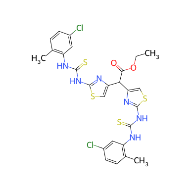 CCOC(=O)C(c1csc(NC(=S)Nc2cc(Cl)ccc2C)n1)c1csc(NC(=S)Nc2cc(Cl)ccc2C)n1